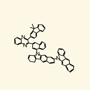 CC1(C)c2ccccc2-c2ccc(-c3nc4ccccc4nc3-c3cc(-n4c5c(c6cc7ccc(-n8c9ccccc9c9cc%10ccccc%10cc98)cc7cc64)CCC=C5)c4ccccc4c3)cc21